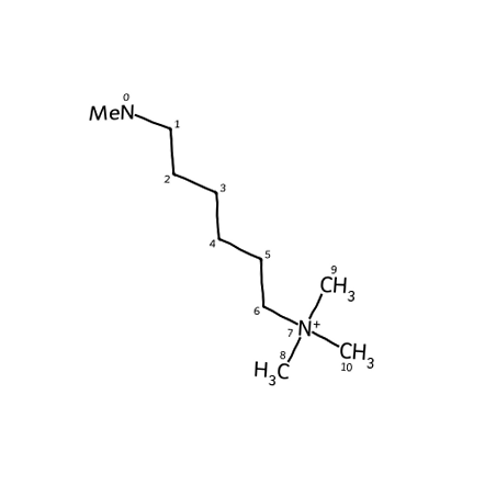 CNCCCCCC[N+](C)(C)C